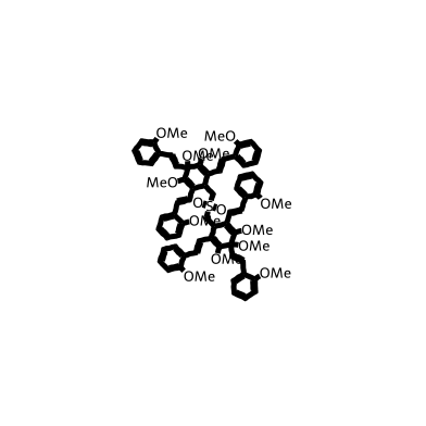 COC1=C(/C=C/c2ccccc2OC)C(CS(=O)(=O)CC2C(/C=C/c3ccccc3OC)=C(OC)C(/C=C/c3ccccc3OC)(OC)C(OC)=C2/C=C/c2ccccc2OC)C(/C=C/c2ccccc2OC)=C(OC)C1(/C=C/c1ccccc1OC)OC